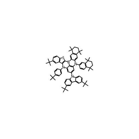 CC(C)(C)c1ccc(N2c3cc(-n4c5ccc(C(C)(C)C)cc5c5cc(C(C)(C)C)ccc54)cc4c3B(c3cc5c(cc3N4c3ccc4c(c3)C(C)(C)CCC4(C)C)C(C)(C)CCC5(C)C)c3sc4ccc(C(C)(C)C)cc4c32)cc1